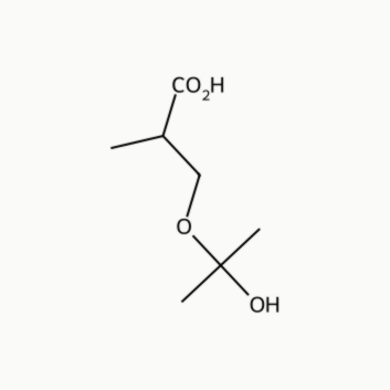 CC(COC(C)(C)O)C(=O)O